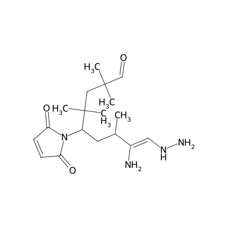 CC(CC(N1C(=O)C=CC1=O)C(C)(C)CC(C)(C)C=O)/C(N)=C/NN